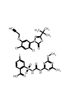 C#CCOc1cc(-n2nc(C(C)(C)C)oc2=O)c(Cl)cc1Cl.COc1nc(C)nc(NC(=O)NS(=O)(=O)c2cc(I)ccc2C(=O)O)n1